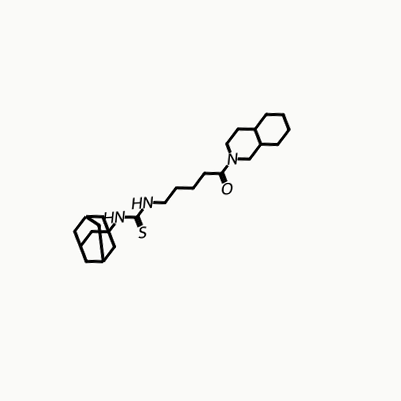 O=C(CCCCNC(=S)NC12CC3CC(CC(C3)C1)C2)N1CCC2CCCCC2C1